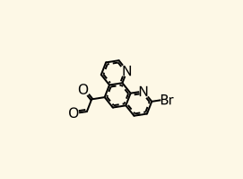 O=CC(=O)c1cc2ccc(Br)nc2c2ncccc12